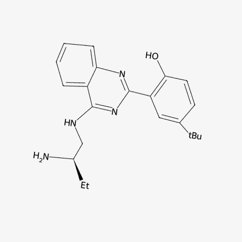 CC[C@@H](N)CNc1nc(-c2cc(C(C)(C)C)ccc2O)nc2ccccc12